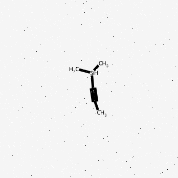 CC#C[SiH](C)C